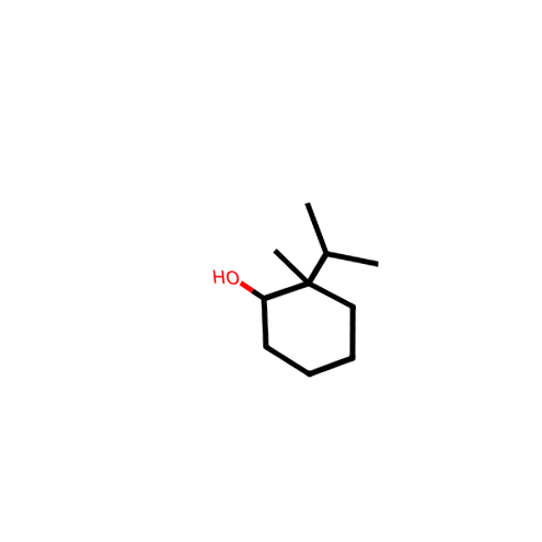 CC(C)C1(C)CCCCC1O